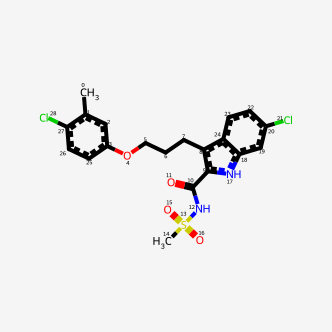 Cc1cc(OCCCc2c(C(=O)NS(C)(=O)=O)[nH]c3cc(Cl)ccc23)ccc1Cl